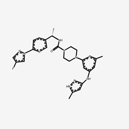 Cc1cc(Nc2cc(C)[nH]n2)cc(N2CCN(C(=O)N[C@@H](C)c3ccc(-n4cc(F)cn4)nc3)CC2)n1